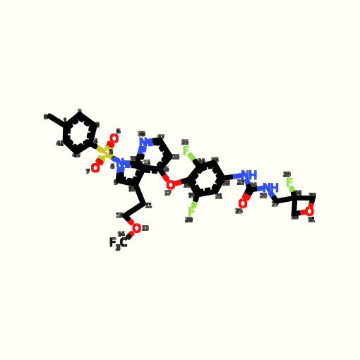 Cc1ccc(S(=O)(=O)n2cc(CCOC(F)(F)F)c3c(Oc4c(F)cc(NC(=O)NCC5(F)COC5)cc4F)ccnc32)cc1